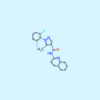 Cc1c(C(=O)Nc2ccc3ccccc3n2)cnn1-c1c(F)cccc1F